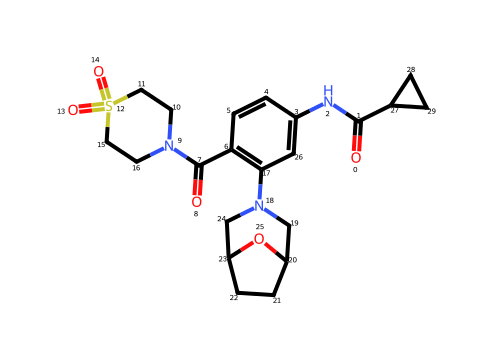 O=C(Nc1ccc(C(=O)N2CCS(=O)(=O)CC2)c(N2CC3CCC(C2)O3)c1)C1CC1